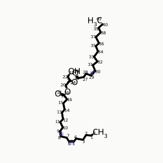 CCCCC/C=C\C/C=C\CCCCCCCC(=O)OCC(CO)OC(=O)CC/C=C\CCCCCCCCCCC